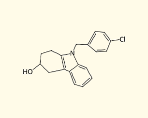 OC1CCc2c(c3ccccc3n2Cc2ccc(Cl)cc2)C1